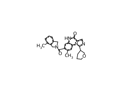 Cc1cc2c(cc1C(=O)N1Cc3cccc(C)c3C1)[nH]c(=O)c1cnc(C3CCCOC3)n12